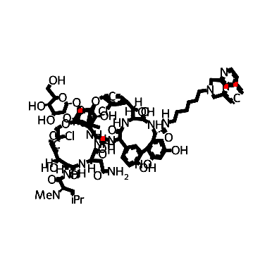 CN[C@H](CC(C)C)C(=O)N[C@H]1C(=O)N[C@@H](CC(N)=O)C(=O)N[C@H]2C(=O)N[C@H]3C(=O)N[C@H](C(=O)N[C@H](C(=O)NCCCCCCN(Cc4ccccn4)Cc4ccccn4)c4cc(O)cc(O)c4-c4cc3ccc4O)[C@H](O)c3ccc(c(Cl)c3)Oc3cc2cc(c3O[C@H]2OC(CO)[C@H](O)C(O)C2O[C@H]2CC(C)(N)[C@H](O)C(C)O2)Oc2ccc(cc2Cl)[C@H]1O